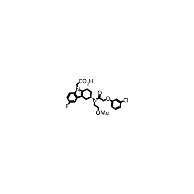 COCCN(C(=O)COc1cccc(Cl)c1)[C@H]1CCc2c(c3cc(F)ccc3n2CC(=O)O)C1